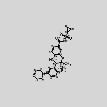 CC1(C)Cc2cc(C(=O)NS(=O)(=O)C3CC3)ccc2NC1c1cc(N2CCOCC2)ccc1F